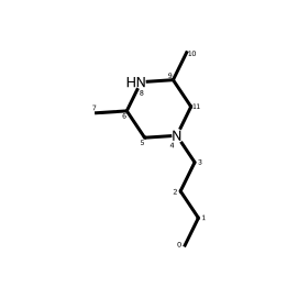 CCCCN1CC(C)NC(C)C1